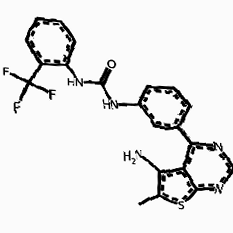 Cc1sc2ncnc(-c3cccc(NC(=O)Nc4ccccc4C(F)(F)F)c3)c2c1N